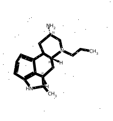 CCCN1C[C@@H](N)CC2c3cccc4c3[C@H](C[C@H]21)C(C)N4